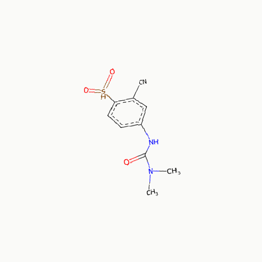 CN(C)C(=O)Nc1ccc([SH](=O)=O)c(C#N)c1